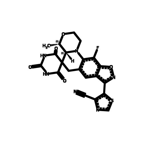 C[C@@H]1OCCN2c3c(cc4c(-c5scnc5C#N)noc4c3F)CC3(C(=O)NC(=O)NC3=O)[C@@H]12